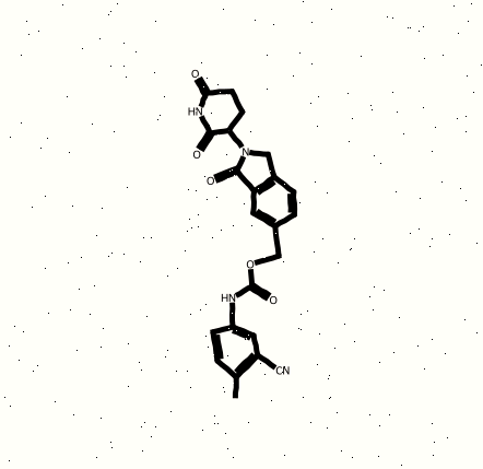 Cc1ccc(NC(=O)OCc2ccc3c(c2)C(=O)N(C2CCC(=O)NC2=O)C3)cc1C#N